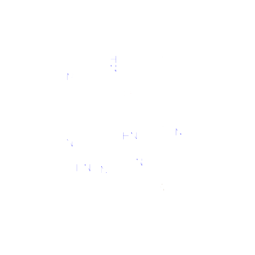 O=C(Nc1cncc(-c2cnc3[nH]nc(-c4nc5c(-c6cccs6)cncc5[nH]4)c3c2)c1)C1CCC1